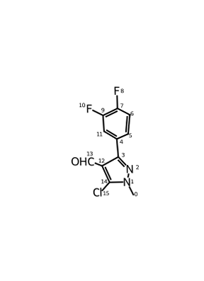 Cn1nc(-c2ccc(F)c(F)c2)c(C=O)c1Cl